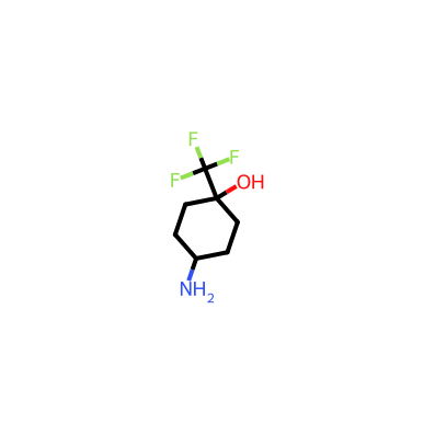 NC1CCC(O)(C(F)(F)F)CC1